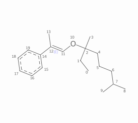 CCC(C)(CCCC(C)C)O/C=C(\C)c1ccccc1